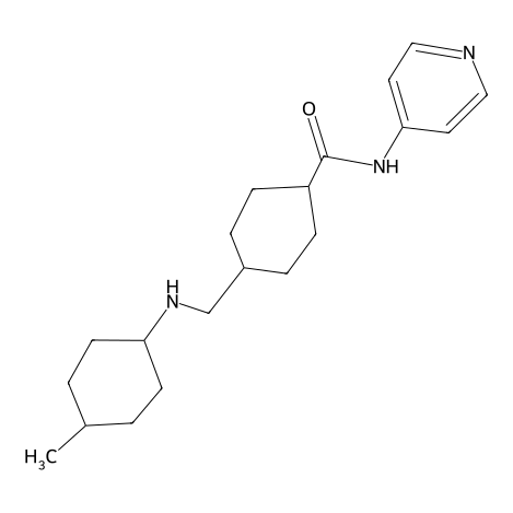 CC1CCC(NCC2CCC(C(=O)Nc3ccncc3)CC2)CC1